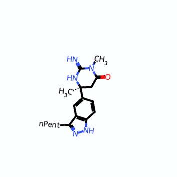 CCCCCc1n[nH]c2ccc([C@]3(C)CC(=O)N(C)C(=N)N3)cc12